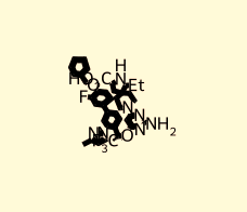 CCC1NC(C(=O)O)CC12CCN(c1cc(O[C@H](c3ccc(-c4ccc(OCc5ccccc5)c(F)c4)cc3-n3ccc(C)n3)C(F)(F)F)nc(N)n1)CC2